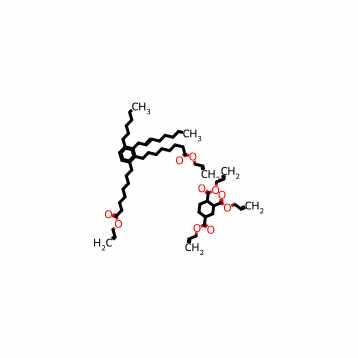 C=CCOC(=O)C1CCC(C(=O)OCC=C)C(C(=O)OCC=C)C1.C=CCOC(=O)CCCCCCCc1ccc(CCCCCC)c(CC=CCCCCC)c1CCCCCCCC(=O)OCC=C